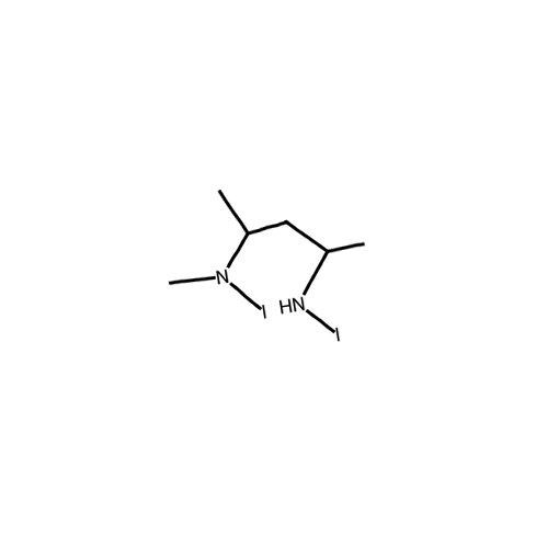 CC(CC(C)N(C)I)NI